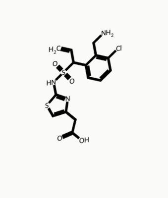 C=CC(c1cccc(Cl)c1CN)S(=O)(=O)Nc1nc(CC(=O)O)cs1